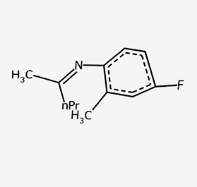 CCC/C(C)=N\c1ccc(F)cc1C